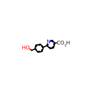 O=C(O)c1ccc(-c2ccc(CO)cc2)nc1